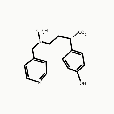 O=C(O)[C@@H](CCN(Cc1ccncc1)C(=O)O)c1ccc(O)cc1